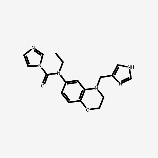 CCN(C(=O)n1ccnc1)c1ccc2c(c1)N(Cc1c[nH]cn1)CCO2